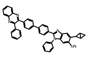 CCCc1cc2c(cc1C1C3CC31)nc(-c1ccc(-c3ccc(-c4nc5ccccc5nc4-c4ccccc4)cc3)cc1)n2-c1ccccc1